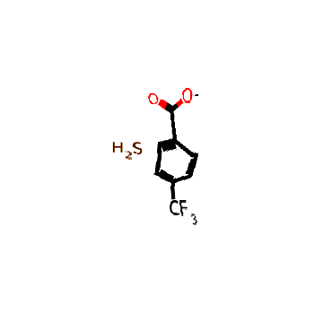 S.[O]C(=O)c1ccc(C(F)(F)F)cc1